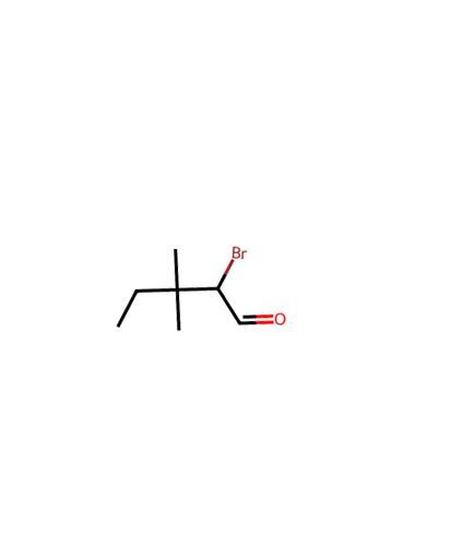 CCC(C)(C)C(Br)C=O